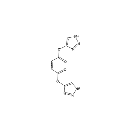 O=C(/C=C\C(=O)Oc1c[nH]nn1)Oc1c[nH]nn1